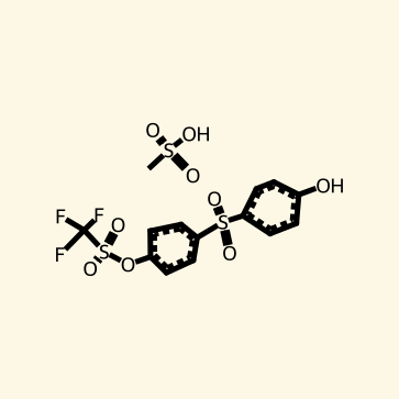 CS(=O)(=O)O.O=S(=O)(c1ccc(O)cc1)c1ccc(OS(=O)(=O)C(F)(F)F)cc1